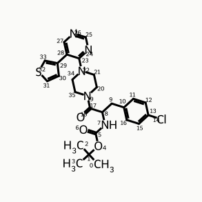 CC(C)(C)OC(=O)NC(Cc1ccc(Cl)cc1)C(=O)N1CCN(c2ncncc2-c2ccsc2)CC1